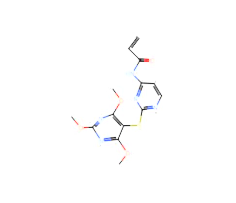 C=CC(=O)Nc1ccnc(Sc2c(OC)nc(OC)nc2OC)n1